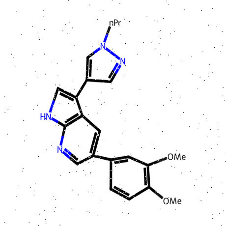 CCCn1cc(-c2c[nH]c3ncc(-c4ccc(OC)c(OC)c4)cc23)cn1